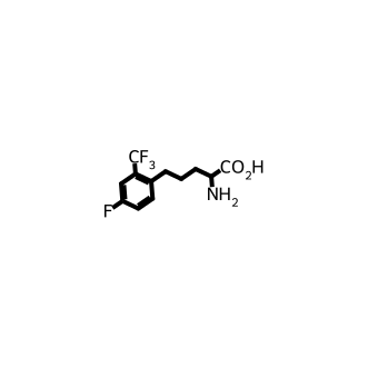 NC(CCCc1ccc(F)cc1C(F)(F)F)C(=O)O